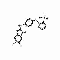 Fc1cc2nc(Nc3ccc(Oc4ncccc4C(F)(F)F)cc3)[nH]c2cc1F